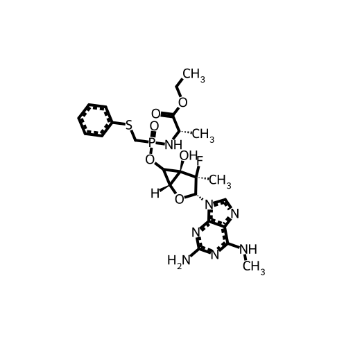 CCOC(=O)[C@H](C)NP(=O)(CSc1ccccc1)OC1[C@H]2O[C@@H](n3cnc4c(NC)nc(N)nc43)[C@](C)(F)[C@@]12O